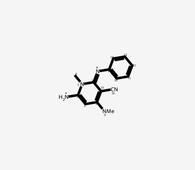 CNc1cc(N)n(C)c(=Nc2ccccc2)c1C#N